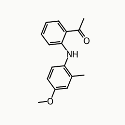 COc1ccc(Nc2ccccc2C(C)=O)c(C)c1